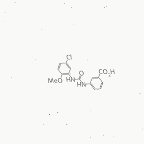 COc1ccc(Cl)cc1NC(=O)Nc1cccc(C(=O)O)c1